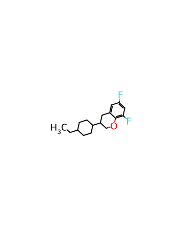 CCC1CCC(C2COc3c(F)cc(F)cc3C2)CC1